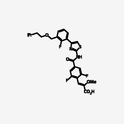 CO/C(=C\c1c(F)cc(C(=O)Nc2nc(-c3cccc(COCCC(C)C)c3F)cs2)cc1F)C(=O)O